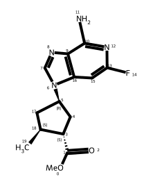 COC(=O)[C@H]1C[C@H](n2cnc3c(N)nc(F)cc32)C[C@@H]1C